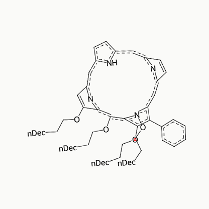 CCCCCCCCCCCCOC1=Cc2cc3ccc(cc4nc(cc5c(-c6ccccc6)c(OCCCCCCCCCCCC)c(c(OCCCCCCCCCCCC)c1n2)n5OCCCCCCCCCCCC)C=C4)[nH]3